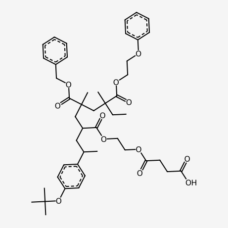 CCC(C)(CC(C)(CC(CC(C)c1ccc(OC(C)(C)C)cc1)C(=O)OCCOC(=O)CCC(=O)O)C(=O)OCc1ccccc1)C(=O)OCCOc1ccccc1